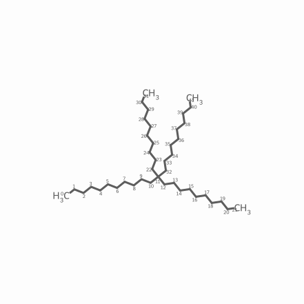 CCCCCCCCCCCC(CCCCCCCCCC)(CCCCCCCCCC)CCCCCCCCCC